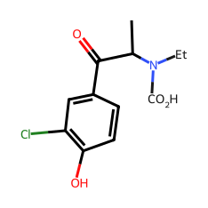 CCN(C(=O)O)C(C)C(=O)c1ccc(O)c(Cl)c1